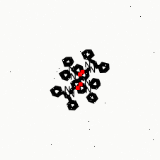 c1ccc(-c2cc(-c3ccccc3)nc(-c3ccc(-c4ccc(-c5nc(-c6ccccc6)cc(-c6ccccc6)n5)cc4N4c5ccccc5N(c5ccccc5)c5ccccc54)c(N4c5ccccc5N(c5ccccc5)c5ccccc54)c3)n2)cc1